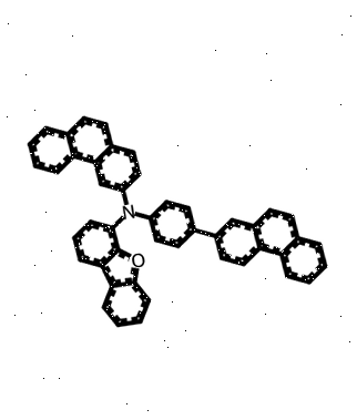 c1ccc2c(c1)ccc1cc(-c3ccc(N(c4ccc5ccc6ccccc6c5c4)c4cccc5c4oc4ccccc45)cc3)ccc12